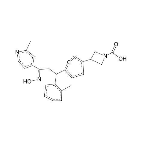 Cc1cc(/C(CC(c2ccc(C3CN(C(=O)O)C3)cc2)c2ccccc2C)=N\O)ccn1